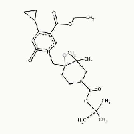 CCOC(=O)c1cn(CC2(O)CCN(C(=O)OC(C)(C)C)CC2(C)C)c(=O)cc1C1CC1